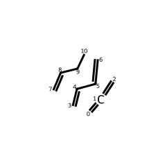 C=C=C.C=CC=C.C=CCC